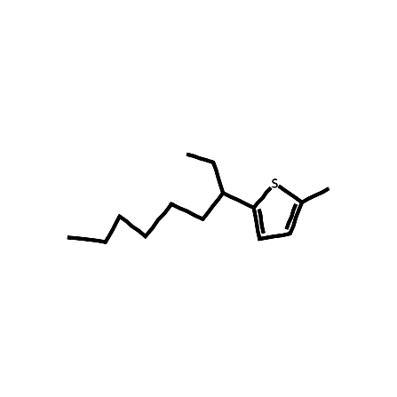 CCCCCCC(CC)c1ccc(C)s1